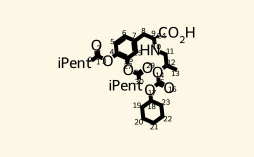 CCCC(C)C(=O)Oc1ccc(C[C@H](NCC(C)OC(=O)OC2CCCCC2)C(=O)O)cc1OC(=O)C(C)CCC